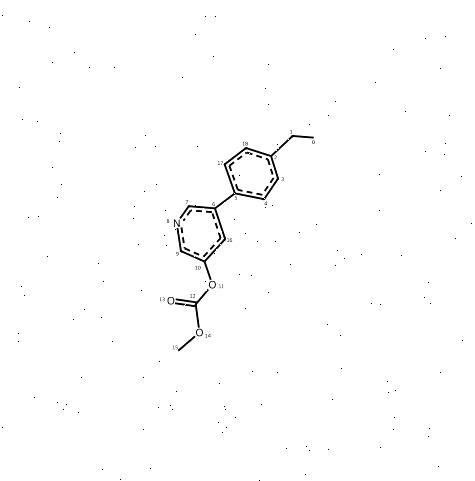 CCc1ccc(-c2cncc(OC(=O)OC)c2)cc1